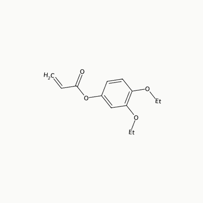 C=CC(=O)Oc1ccc(OCC)c(OCC)c1